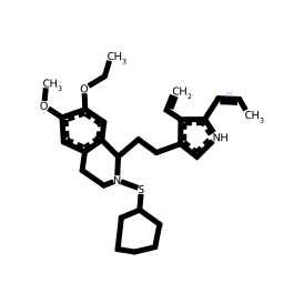 C=Cc1c(CCC2c3cc(OCC)c(OC)cc3CCN2SC2CCCCC2)c[nH]c1/C=C\C